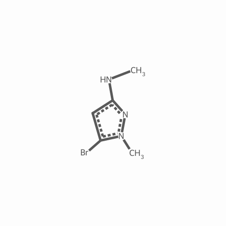 CNc1cc(Br)n(C)n1